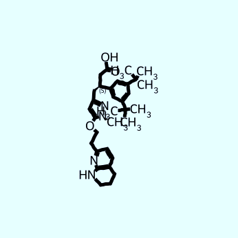 Cn1nc(C[C@@H](CC(=O)O)c2cc(C(C)(C)C)cc(C(C)(C)C)c2)cc1OCCc1ccc2c(n1)NCCC2